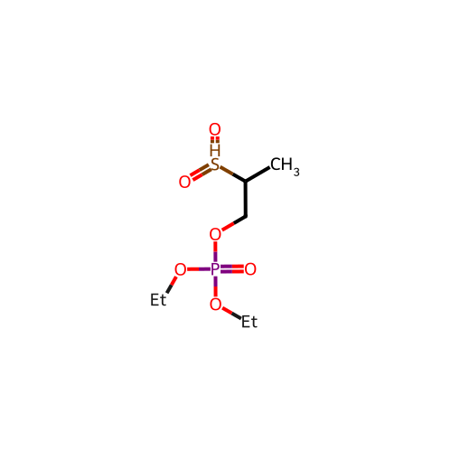 CCOP(=O)(OCC)OCC(C)[SH](=O)=O